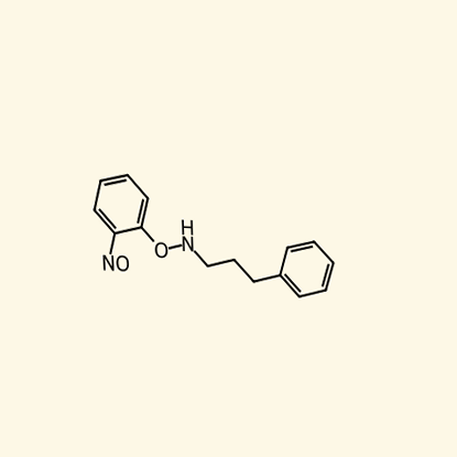 O=Nc1ccccc1ONCCCc1ccccc1